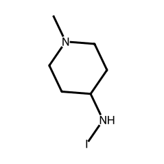 CN1CCC(NI)CC1